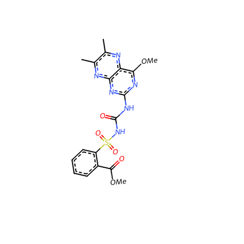 COC(=O)c1ccccc1S(=O)(=O)NC(=O)Nc1nc(OC)c2nc(C)c(C)nc2n1